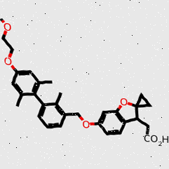 CCOCCOc1cc(C)c(-c2cccc(COc3ccc4c(c3)OC3(CC3)C4CC(=O)O)c2C)c(C)c1